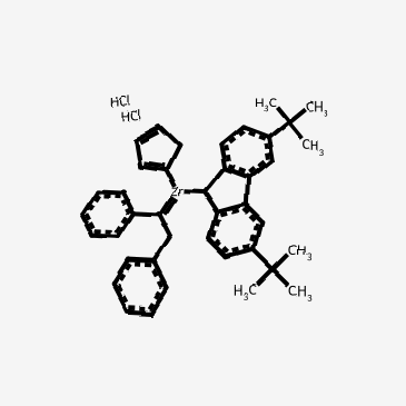 CC(C)(C)c1ccc2c(c1)-c1cc(C(C)(C)C)ccc1[CH]2/[Zr]([C]1=CC=CC1)=[C](\Cc1ccccc1)c1ccccc1.Cl.Cl